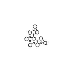 c1ccc2c(c1)B1c3ccccc3N3c4cccc5c4B(c4cc6c(c1c43)N2c1cccc2c1B6c1cccc3c4ccccc4n-2c13)c1cccc2c3ccccc3n-5c12